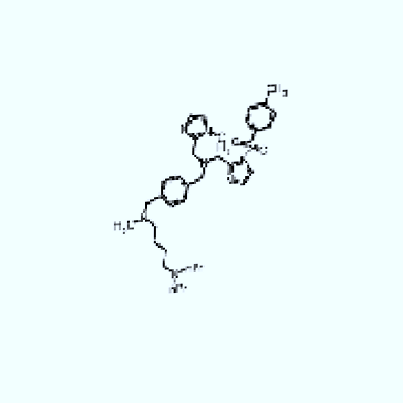 CCCN(CCC)CCCCN(C)Cc1ccc(CN(Cc2nccn2C)Cc2nccn2S(=O)(=O)c2ccc(C)cc2)cc1